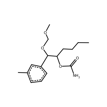 CCCCC(OC(N)=O)C(OCOC)c1cccc(C)c1